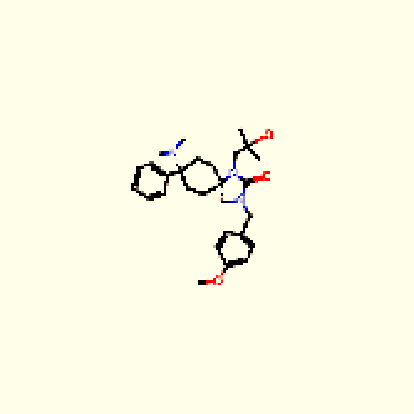 COc1ccc(CN2C[C@]3(CC[C@@](c4ccccc4)(N(C)C)CC3)N(CC(C)(C)O)C2=O)cc1